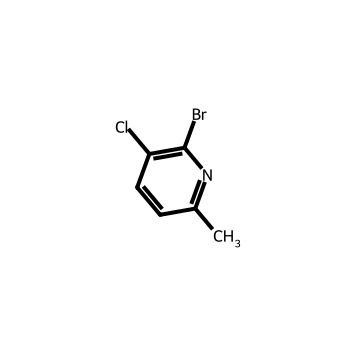 Cc1ccc(Cl)c(Br)n1